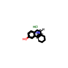 Cl.Oc1ccc2c(c1)[C@@]13CCCC[C@H]1[C@@H](C2)NCC3